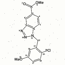 COC(=O)c1ccc2c(c1)nnn2Cc1cc(OC)ccc1Cl